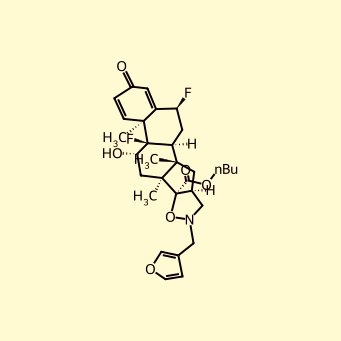 CCCCOC(=O)[C@@]12ON(Cc3ccoc3)C[C@@H]1C[C@@]1(C)[C@@H]3C[C@H](F)C4=CC(=O)C=C[C@]4(C)[C@@]3(F)[C@@H](O)C[C@@]12C